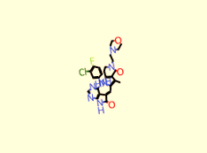 Cc1c(/C=C2/C(=O)Nc3ncnc(Nc4ccc(F)c(Cl)c4)c32)[nH]c2c1C(=O)N(CCN1CCOCC1)CC2